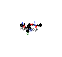 C[C@@H](COc1ccnc2c1[C@H](C)CCC2)CC1Cc2ccc(OCCCNC(=O)CCc3ccccc3)cc2C12CCC(Nc1cccc(Cl)c1)(C(=O)O)CC2